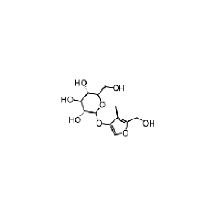 Cc1c(OC2O[C@H](CO)[C@@H](O)[C@H](O)[C@H]2O)coc1CO